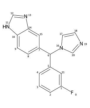 Fc1cccc(C(c2ccc3[nH]cnc3c2)n2ccnc2)c1